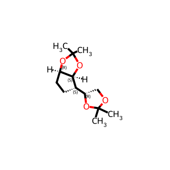 CC1(C)OC[C@@H]([C@@H]2CC[C@H]3OC(C)(C)O[C@@H]23)O1